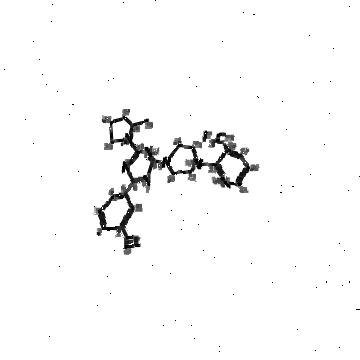 CCc1cccc(-c2nc(N3CCN(c4ncccc4C(F)(F)F)CC3)nc(N3CCCC3C)n2)c1